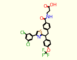 O=C(O)CCNC(=O)c1ccc(CC(c2ccc(OC(F)(F)F)cc2)c2nc(-c3cc(Cl)cc(Cl)c3)cs2)cc1